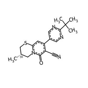 C[C@@H]1CSc2cc(-c3cnc(C(C)(C)C)nc3)c(C#N)c(=O)n2C1